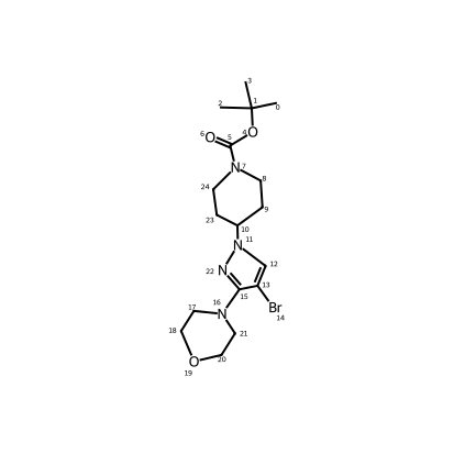 CC(C)(C)OC(=O)N1CCC(n2cc(Br)c(N3CCOCC3)n2)CC1